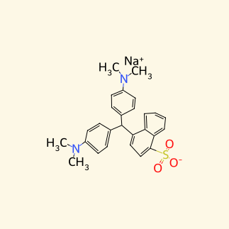 CN(C)c1ccc(C(c2ccc(N(C)C)cc2)c2ccc(S(=O)(=O)[O-])c3ccccc23)cc1.[Na+]